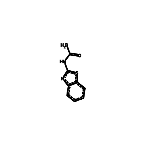 BC(=O)Nc1nc2ccccc2s1